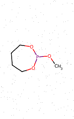 COP1OCCCCO1